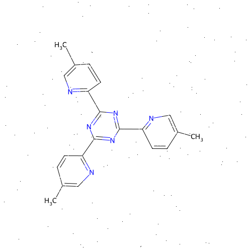 Cc1ccc(-c2nc(-c3ccc(C)cn3)nc(-c3ccc(C)cn3)n2)nc1